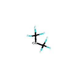 F[C](F)(F)[Ge][C](F)(F)F